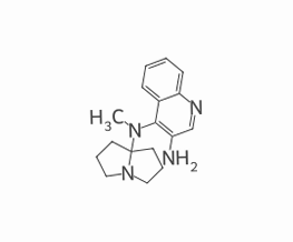 CN(c1c(N)cnc2ccccc12)C12CCCN1CCC2